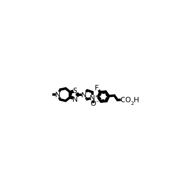 CN1CCc2nc(N3CC[N+]([O-])(c4ccc(CCC(=O)O)cc4F)C3)sc2CC1